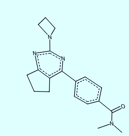 CN(C)C(=O)c1ccc(-c2nc(N3CCC3)nc3c2CCC3)cc1